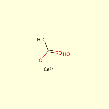 CC(=O)[O-].[Ce+2].[OH-]